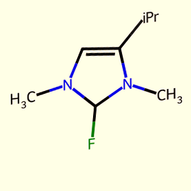 CC(C)C1=CN(C)C(F)N1C